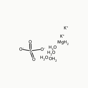 O.O.O.O.O=S(=O)([O-])[O-].[K+].[K+].[MgH2]